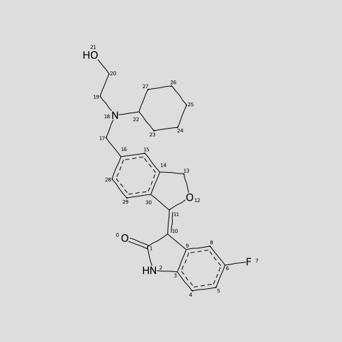 O=C1Nc2ccc(F)cc2/C1=C1\OCc2cc(CN(CCO)C3CCCCC3)ccc21